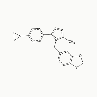 Cc1ccc(-c2ccc(C3CC3)cc2)n1Cc1ccc2c(c1)OCO2